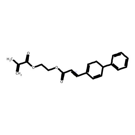 C=C(C)C(=O)OCCOC(=O)/C=C/C1=CCC(c2ccccc2)C=C1